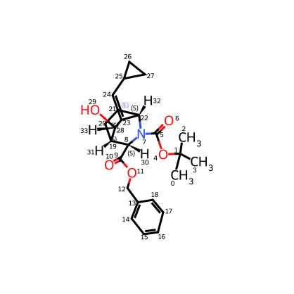 CC(C)(C)OC(=O)N1[C@H](C(=O)OCc2ccccc2)[C@@H]2CC[C@H]1/C(=C\C1CC1)[C@H]2O